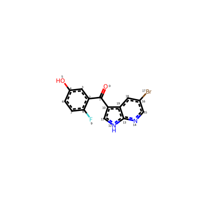 O=C(c1cc(O)ccc1F)c1c[nH]c2ncc(Br)cc12